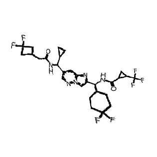 O=C(CC1CC(F)(F)C1)NC(c1cnn2cc([C@@H](NC(=O)C3CC3C(F)(F)F)C3CCC(F)(F)CC3)nc2c1)C1CC1